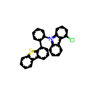 Clc1cccc2c1c1ccccc1n2-c1ccccc1-c1cccc2c1sc1ccccc12